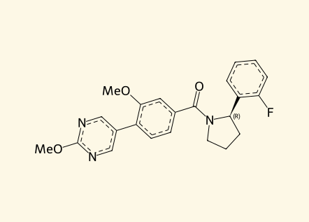 COc1ncc(-c2ccc(C(=O)N3CCC[C@@H]3c3ccccc3F)cc2OC)cn1